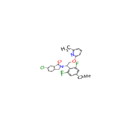 COc1cc(F)c(C(COc2cccc(C)n2)N2Cc3ccc(Cl)cc3C2=O)c(F)c1